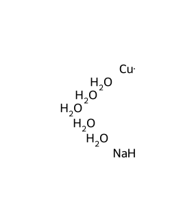 O.O.O.O.O.[Cu].[NaH]